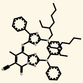 CCCCC(CC)CN(CC(CC)CCCC)c1nc(-c2ccccc2)c(/N=C2/C(C)=C(C#N)C(=O)n3nc(N(c4ccccc4)c4ccccc4)nc32)s1